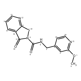 COc1cc(CNC(=O)n2sc3ncccc3c2=O)ccn1